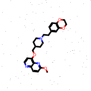 COc1ccc2nccc(OCC3CCN(CCc4ccc5c(c4)OCCO5)CC3)c2n1